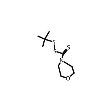 CC(C)(C)SSC(=S)N1CCOCC1